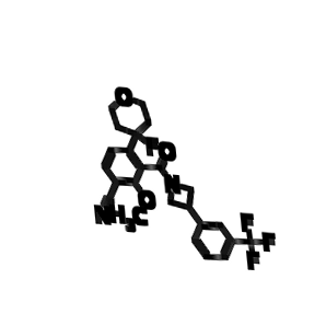 COc1c(C#N)ccc(C2(F)CCOCC2)c1C(=O)N1CC(c2cccc(C(F)(F)F)c2)C1